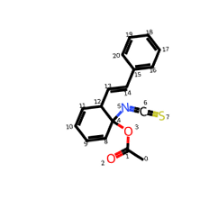 CC(=O)OC1(N=C=S)C=CC=CC1C=Cc1ccccc1